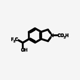 O=C(O)N1Cc2ccc(C(O)C(F)(F)F)cc2C1